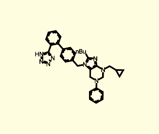 CCCCc1nc2c(n1Cc1ccc(-c3ccccc3-c3nnn[nH]3)cc1)CN(c1ccccc1)CN2CC1CC1